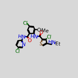 CCNCc1csc(C(=O)Nc2c(OC)cc(Cl)cc2C(=O)Nc2ccc(Cl)cn2)c1Cl